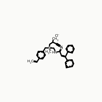 C=Cc1ccc(C[N+](C)(CNC(=O)C=C(c2ccccc2)c2ccccc2)CC(C)C#N)cc1.[Cl-]